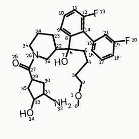 COCCCCC(O)(c1cccc(F)c1-c1cccc(F)c1)C1CCCN(C(=O)C2CC(N)C(O)C2)C1